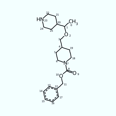 CC(OCC1CCN(C(=O)OCc2ccccc2)CC1)C1CCNCC1